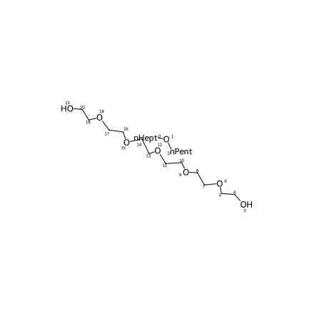 CCCCCCCOCCCCC.OCCOCCOCCOCCOCCOCCO